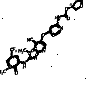 Cn1cc(C(F)(F)F)cc(Nc2nc3ncc(Oc4ccnc(NC(=O)O[C@H]5CCOC5)c4)c(C#N)c3n2C)c1=O